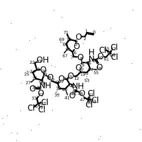 C=CCO[C@@H]1OC(CO[C@@H]2OC(CO[C@@H]3OC(CO[C@@H]4OC(CO)[C@@H](C)[C@H](C)C4NC(=O)OCC(Cl)(Cl)Cl)[C@@H](C)[C@H](C)C3NC(=O)OCC(Cl)(Cl)Cl)[C@@H](C)[C@H](C)C2NC(=O)OCC(Cl)(Cl)Cl)[C@@H](C)[C@H](C)C1C